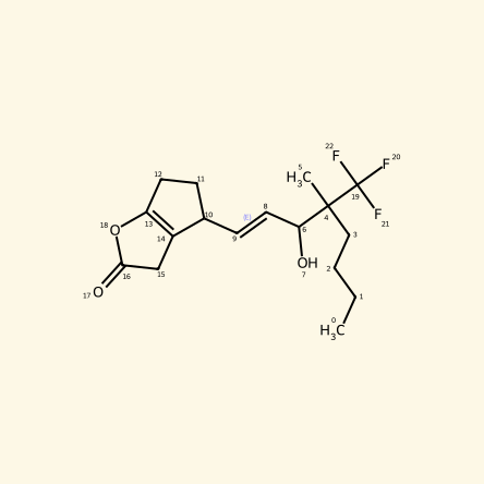 CCCCC(C)(C(O)/C=C/C1CCC2=C1CC(=O)O2)C(F)(F)F